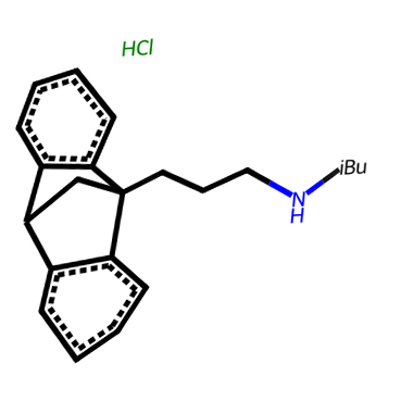 CCC(C)NCCCC12CC(c3ccccc31)c1ccccc12.Cl